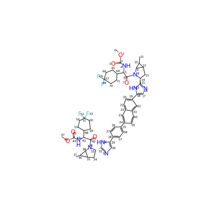 COC(=O)NC(C(=O)N1C2C(C)C2C[C@H]1c1ncc(-c2ccc3cc(-c4ccc(-c5cnc([C@@H]6CC7C(C)C7N6C(=O)[C@@H](NC(=O)OC)C6CCC(F)(F)CC6)[nH]5)cc4)ccc3c2)[nH]1)C1CCC(F)(F)CC1